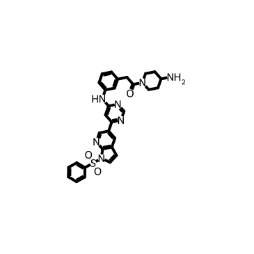 NC1CCN(C(=O)Cc2cccc(Nc3cc(-c4cnc5c(ccn5S(=O)(=O)c5ccccc5)c4)ncn3)c2)CC1